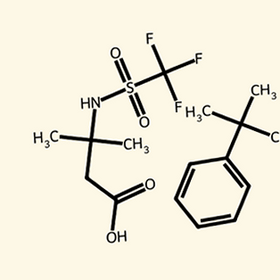 CC(C)(C)c1ccccc1.CC(C)(CC(=O)O)NS(=O)(=O)C(F)(F)F